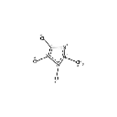 Cn1nc(Cl)c(Cl)c1Cl